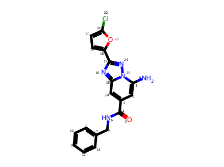 Nc1cc(C(=O)NCc2ccccc2)cc2nc(-c3ccc(Cl)o3)nn12